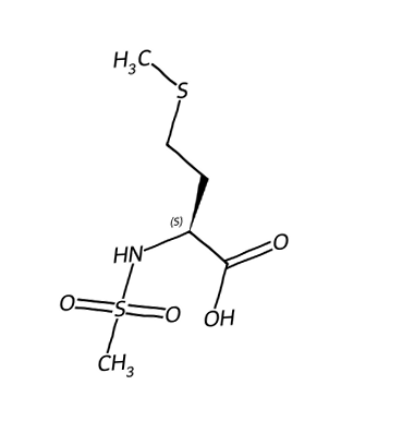 CSCC[C@H](NS(C)(=O)=O)C(=O)O